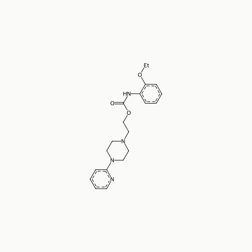 CCOc1ccccc1NC(=O)OCCN1CCN(c2ccccn2)CC1